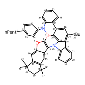 CCCCCc1ccc(N2B3c4oc5cc6c(cc5c4-n4c5ccccc5c5c(C(C)(C)C)cc(c3c54)-c3ccccc32)C(C)(C)CCC6(C)C)cc1